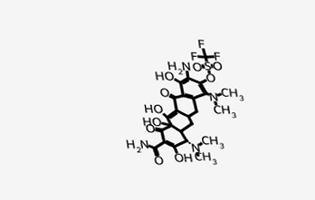 CN(C)c1c2c(c(O)c(N)c1OS(=O)(=O)C(F)(F)F)C(=O)C1=C(O)C3(O)C(=O)C(C(N)=O)=C(O)[C@@H](N(C)C)C3CC1C2